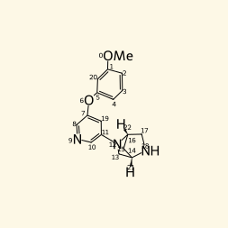 COc1cccc(Oc2cncc(N3C[C@@H]4C[C@H]3CN4)c2)c1